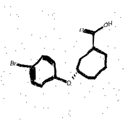 O=C(O)[C@H]1CCC[C@H](Oc2ccc(Br)cc2)C1